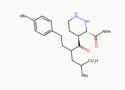 CCCCc1ccc(CCC(CC(CCCC)C(=O)O)C(=O)[C@H]2CCNN[C@@H]2C(=O)NC)cc1